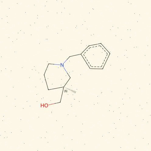 C[C@]1(CO)CCCN(Cc2ccccc2)C1